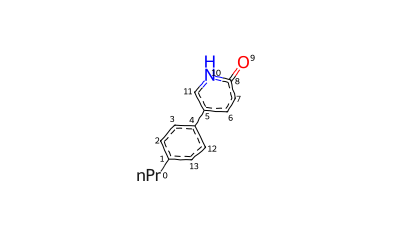 CCCc1ccc(-c2ccc(=O)[nH]c2)cc1